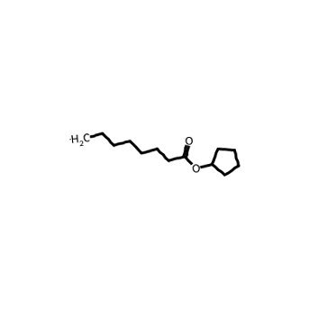 [CH2]CCCCCCC(=O)OC1CCCC1